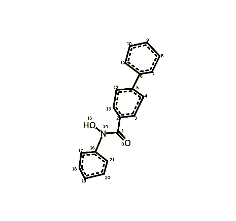 O=C(c1c[c]c(-c2ccccc2)cc1)N(O)c1ccccc1